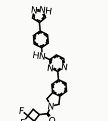 O=C(C1CC(F)(F)C1)N1Cc2ccc(-c3nccc(Nc4ccc(-c5cn[nH]c5)cc4)n3)cc2C1